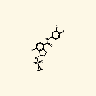 O=C(Nc1ccc(F)c(Cl)c1)c1ccc(F)c2c1CC[C@@H]2NS(=O)(=O)C1CC1